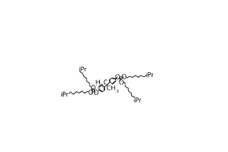 CC(C)CCCCCCCOP(OCCCCCCCC(C)C)Oc1ccc(C(C)(C)c2ccc(OP(OCCCCCCCC(C)C)OCCCCCCCC(C)C)cc2)cc1